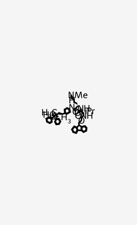 CNCCCC[C@H](NC(=O)[C@@H](NC(=O)OCC1c2ccccc2-c2ccccc21)C(C)C)C(=O)Nc1ccc(CCC(C)(C)[Si](O)(c2ccccc2)c2ccccc2)cc1